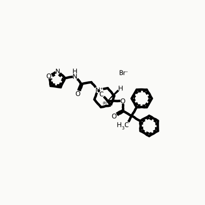 CC(C(=O)O[C@H]1C[N+]2(CC(=O)Nc3ccon3)CCC1CC2)(c1ccccc1)c1ccccc1.[Br-]